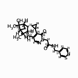 C[C@@H]1[C@H]2C[C@@H](C[C@H]1Nc1cnn(CC(=O)NCc3ccncc3)c(=O)c1C1CC1)C2(C)C